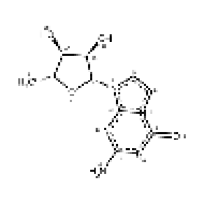 C[C@H]1O[C@@H](n2ccn3c(=O)nc(N)nc23)[C@H](O)[C@@H]1O